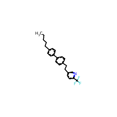 CCCCCc1ccc(-c2ccc(CCc3ccc(C(F)(F)F)nc3)cc2)cc1